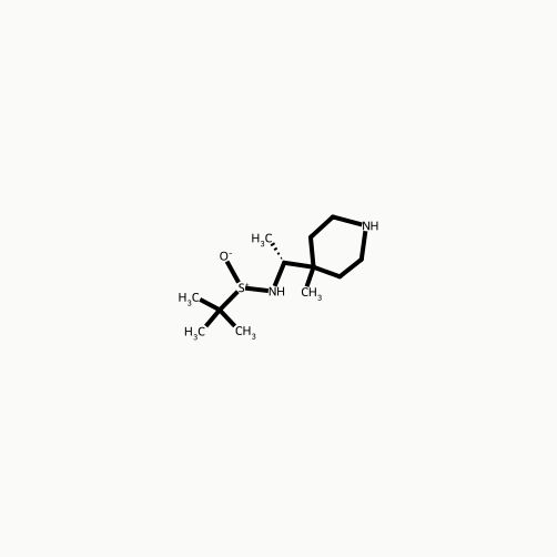 C[C@@H](N[S+]([O-])C(C)(C)C)C1(C)CCNCC1